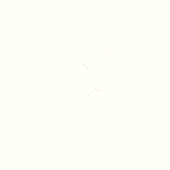 CC(C)OCCCNC(=O)[C@H](CCC(=O)O)NC(=O)OCC1c2ccccc2-c2ccccc21